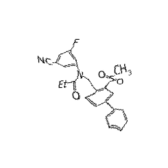 CCC(=O)N(Cc1ccc(-c2ccccc2)cc1S(C)(=O)=O)c1cc(F)cc(C#N)c1